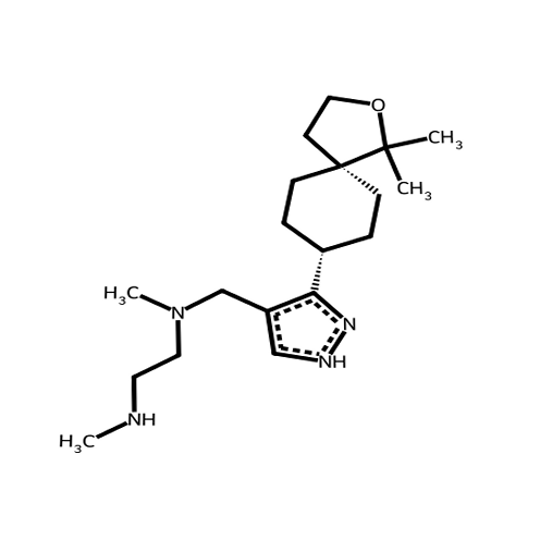 CNCCN(C)Cc1c[nH]nc1[C@H]1CC[C@@]2(CCOC2(C)C)CC1